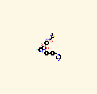 Cc1nc(C(=O)N[C@H]2CC[C@@H](n3c(=O)c4cc(F)cnc4n(-c4cccc(-c5ccc(CN6CCCN(C)CC6)cc5)c4)c3=O)CC2)cs1